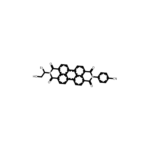 CCC(CO)N1C(=O)c2ccc3c4ccc5c6c(ccc(c7ccc(c2c37)C1=O)c64)C(=O)N(c1ccc(C#N)cc1)C5=O